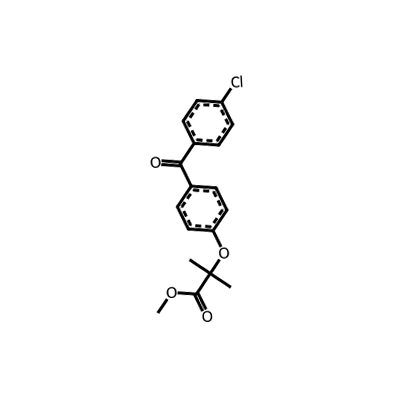 COC(=O)C(C)(C)Oc1ccc(C(=O)c2ccc(Cl)cc2)cc1